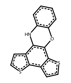 c1ccc2c(c1)Nc1c(c3sccc3c3sccc13)O2